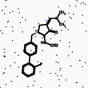 CN(C)/C=C1/C[C@@H](Cc2ccc(-c3ccccc3F)cc2)N(BC=O)C1=O